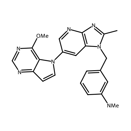 CNc1cccc(Cn2c(C)nc3ncc(-n4ccc5ncnc(OC)c54)cc32)c1